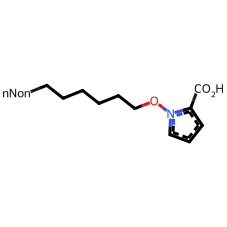 CCCCCCCCCCCCCCCOn1cccc1C(=O)O